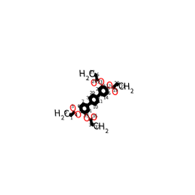 C=CC(=O)Oc1ccc(-c2ccc(-c3ccc(OC(=O)C=C)c(OC(=O)C=C)c3)cc2)cc1OC(=O)C=C